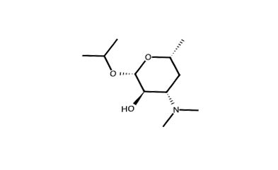 CC(C)O[C@@H]1O[C@H](C)C[C@H](N(C)C)[C@H]1O